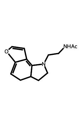 CC(=O)NCCN1CCC2CC=c3occc3=C21